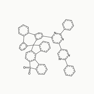 O=S1(=O)c2ccccc2-c2c1ccc1c2-c2ccccc2C12c1ccccc1-c1ccccc1-c1ccc(-c3cc(-c4cnc(-c5ccccc5)nc4)nc(-c4ccccc4)n3)cc12